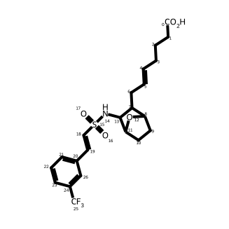 O=C(O)CCCC=CCC1C2CCC(O2)C1NS(=O)(=O)C=Cc1cccc(C(F)(F)F)c1